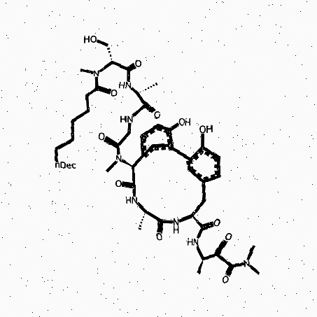 CCCCCCCCCCCCCCCC(=O)N(C)[C@H](CO)C(=O)N[C@H](C)C(=O)NCC(=O)N(C)[C@@H]1C(=O)N[C@@H](C)C(=O)N[C@H](C(=O)N[C@H](C)C(=O)C(=O)N(C)C)Cc2ccc(O)c(c2)-c2cc1ccc2O